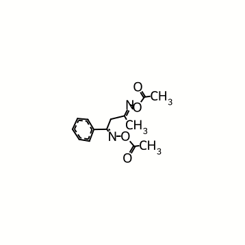 CC(=O)O/N=C(\C)C/C(=N\OC(C)=O)c1ccccc1